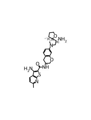 Cc1ccc2c(N)c(C(=O)N[C@H]3COc4cc(N5C[C@@H](N)[C@]6(C5)OCC[C@H]6C)ccc4C3)sc2n1